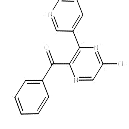 O=C(c1ccccc1)c1n[c]c(Cl)nc1-c1cccnc1